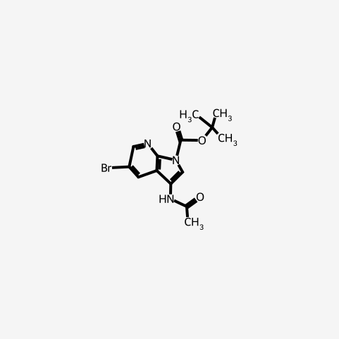 CC(=O)Nc1cn(C(=O)OC(C)(C)C)c2ncc(Br)cc12